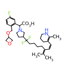 CC(C)=C(/C=C\C1=C(C)NCCC1)CCCCC(F)(F)C1CCN(C(C(=O)O)c2cc(F)ccc2COC2COC2)C1